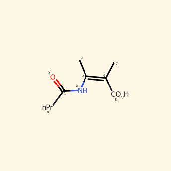 CCCC(=O)N/C(C)=C(/C)C(=O)O